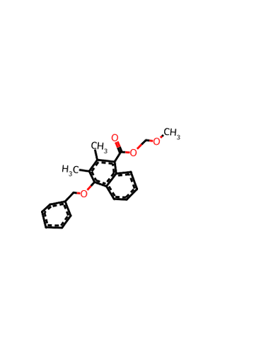 COCOC(=O)c1c(C)c(C)c(OCc2ccccc2)c2ccccc12